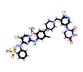 Cc1cc(Nc2ncc(Cl)c(Nc3ccccc3S(=O)(=O)C(C)C)n2)c(OC(C)C)cc1C1CCN(Cc2cc(N3CCC(=O)NC3=O)cnc2F)CC1